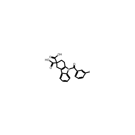 O=C(c1cccc(I)c1)n1c2c(c3ccccc31)CC(C(=O)O)(C(=O)O)CC2